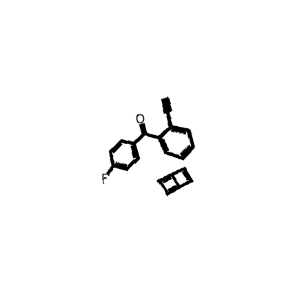 C#Cc1ccccc1C(=O)c1ccc(F)cc1.c1cc2ccc1-2